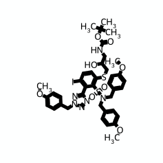 COc1ccc(CN(Cc2ccc(OC)cc2)S(=O)(=O)c2c(SCC(O)CNC(=O)OC(C)(C)C)ccc(I)c2-c2nnn(Cc3ccc(OC)cc3)n2)cc1